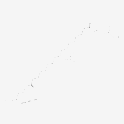 C=C=C=CC(CCCC)CCOC(=O)CCCCCCCC(CCCCCCCC(=O)OCCC(C)CCCC)ON(C)CC